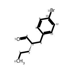 CCC[C@H]([C]=O)Cc1ccc(Br)cc1